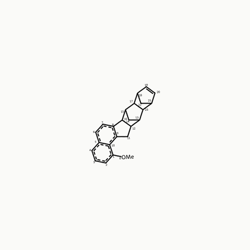 COc1cccc2ccc3c(c12)CC1C2CC(C31)C1C3C=CC(C3)C21